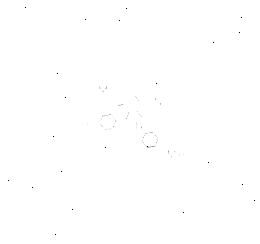 COc1ccc(N2C=C3C(C#N)=CC(OC)C(=O)C3=C(c3ccc(C(F)(F)F)c(F)c3)C2)cc1